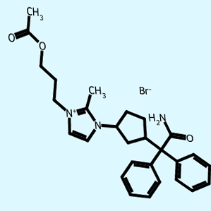 CC(=O)OCCC[n+]1ccn(C2CCC(C(C(N)=O)(c3ccccc3)c3ccccc3)C2)c1C.[Br-]